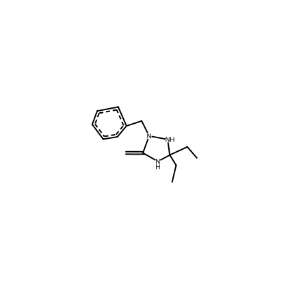 C=C1NC(CC)(CC)NN1Cc1ccccc1